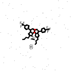 CCCCC1=Cc2c(-c3ccc(C(F)(F)F)cc3)cccc2[CH]1[Ti+2]1([CH]2C(CCCC)=Cc3c(-c4ccc(C(F)(F)F)cc4)cccc32)[CH2][CH2]1.[Cl-].[Cl-]